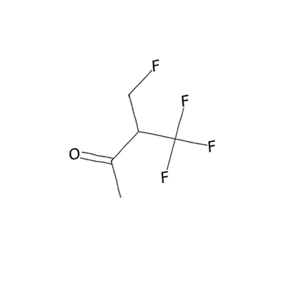 CC(=O)C(CF)C(F)(F)F